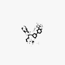 CS(=O)(=O)c1nccc(-c2sc(N3C4CCC3COC4)nc2-c2cccc(-c3ccc(F)c(S(N)(=O)=O)c3F)c2F)n1